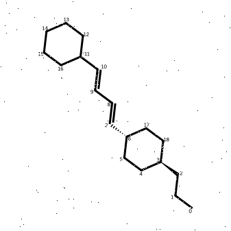 CCC[C@H]1CC[C@H](C=CC=CC2CCCCC2)CC1